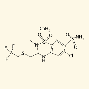 CN1C(CSCC(F)(F)F)Nc2cc(Cl)c(S(N)(=O)=O)cc2S1(=O)=O.[CaH2]